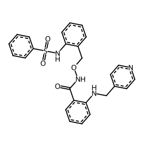 O=C(NOCc1ccccc1NS(=O)(=O)c1ccccc1)c1ccccc1NCc1ccncc1